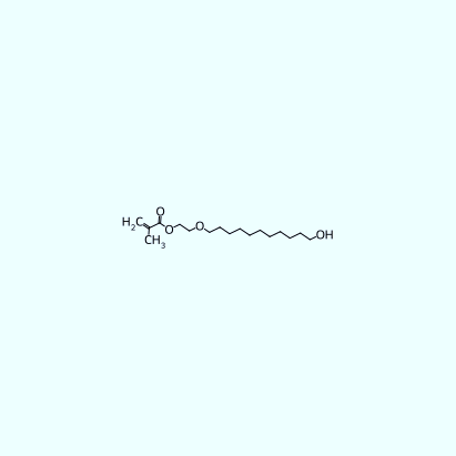 C=C(C)C(=O)OCCOCCCCCCCCCCCO